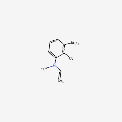 C=CN(C#N)c1cccc(NC(C)=O)c1C#N